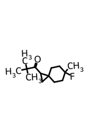 CC1(F)CCC2(CC1)CC2C(=O)C(C)(C)C